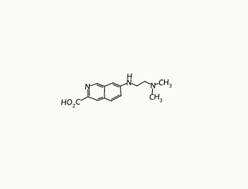 CN(C)CCNc1ccc2cc(C(=O)O)ncc2c1